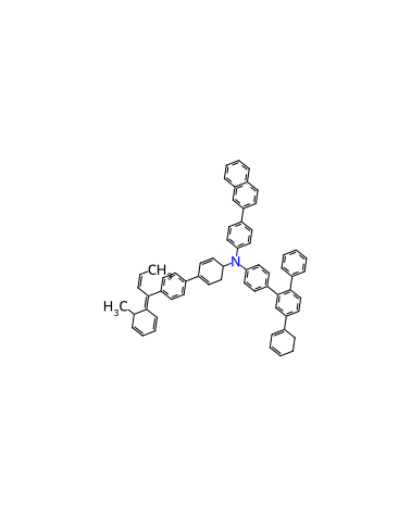 C/C=C\C(=C1\C=CC=CC1C)c1ccc(C2=CCC(N(c3ccc(-c4ccc5ccccc5c4)cc3)c3ccc(-c4cc(C5=CC=CCC5)ccc4-c4ccccc4)cc3)C=C2)cc1